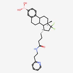 C[C@]12CCC3c4ccc(B(O)O)cc4CCC3C1[C@@H](CCCC(=O)NCCc1ccccn1)CC2(F)F